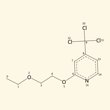 CCOCCOc1cc(C(Cl)(Cl)Cl)ccn1